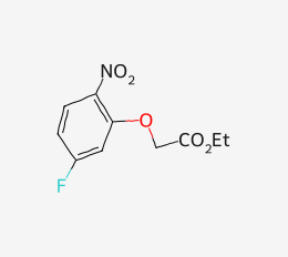 CCOC(=O)COc1cc(F)ccc1[N+](=O)[O-]